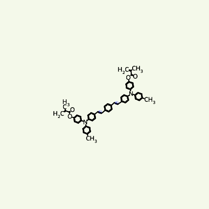 C=C(C)C(=O)Oc1ccc(N(c2ccc(C)cc2)c2ccc(/C=C/c3ccc(/C=C/c4ccc(N(c5ccc(C)cc5)c5ccc(OC(=O)C(=C)C)cc5)cc4)cc3)cc2)cc1